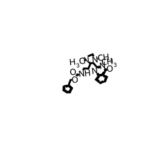 CN1CCN(C)C(c2nc3ccccc3c(=O)n2C)C1CCNC(=O)OCc1ccccc1